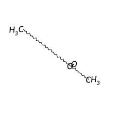 CCCCCCCCCCCCCCCCCCCCCCCCCCCCCCCCOC(=O)CCCCCCCCCCC